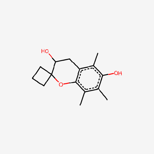 Cc1c(C)c2c(c(C)c1O)CC(O)C1(CCC1)O2